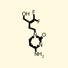 Nc1ccn(CCC(CO)=C(F)F)c(=O)n1